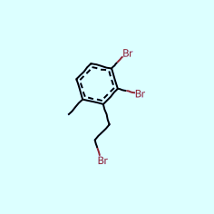 Cc1ccc(Br)c(Br)c1CCBr